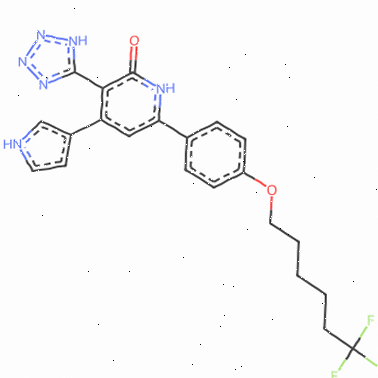 O=c1[nH]c(-c2ccc(OCCCCCC(F)(F)F)cc2)cc(-c2cc[nH]c2)c1-c1nnn[nH]1